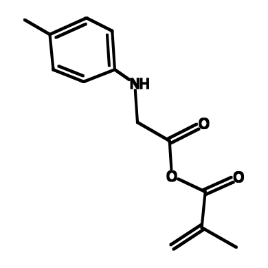 C=C(C)C(=O)OC(=O)CNc1ccc(C)cc1